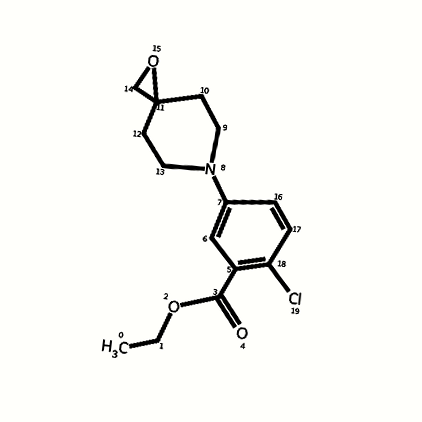 CCOC(=O)c1cc(N2CCC3(CC2)CO3)ccc1Cl